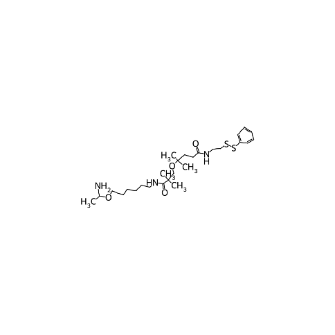 CC(N)OCCCCCCNC(=O)C(C)(C)COC(C)(C)CCC(=O)NCCSSc1ccccc1